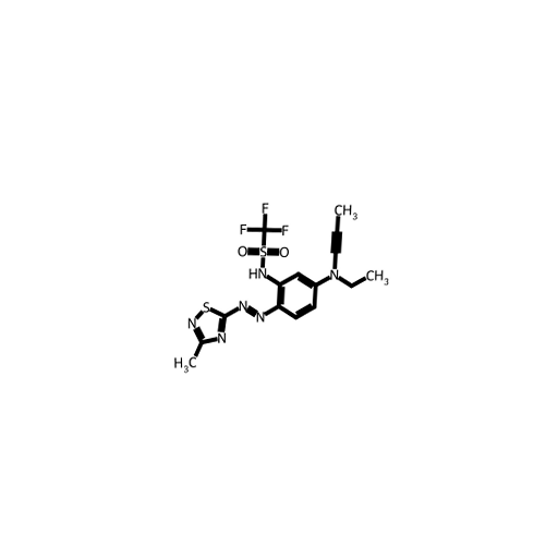 CC#CN(CC)c1ccc(/N=N/c2nc(C)ns2)c(NS(=O)(=O)C(F)(F)F)c1